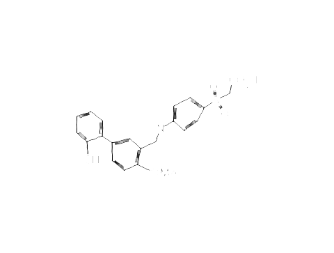 COc1ccc(-c2ccccc2C)cc1CNc1ccc(S(=O)(=O)CC(=O)O)cc1